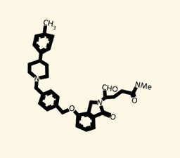 CNC(=O)CCC(C=O)N1Cc2c(OCc3ccc(CN4CCC(c5ccc(C)cc5)CC4)cc3)cccc2C1=O